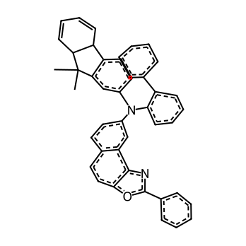 CC1(C)c2cc(N(c3ccc4ccc5oc(-c6ccccc6)nc5c4c3)c3ccccc3-c3ccccc3)ccc2C2C=CC=CC21